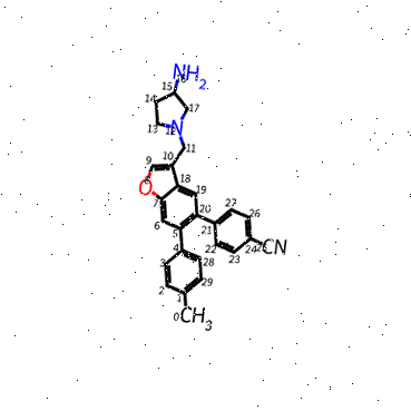 Cc1ccc(-c2cc3occ(CN4CCC(N)C4)c3cc2-c2ccc(C#N)cc2)cc1